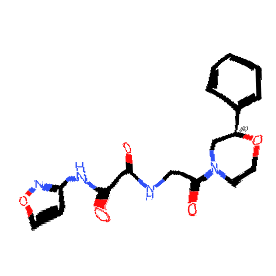 O=C(NCC(=O)N1CCO[C@H](c2ccccc2)C1)C(=O)Nc1ccon1